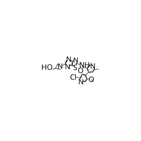 COc1cnc(Cl)cc1-c1cc(C)ncc1C(=O)Nc1nc2ncc(N3CC(CO)C3)nc2s1